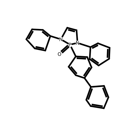 O=P1(c2ccc(-c3ccccc3)cc2)N(c2ccccc2)C=CN1c1ccccc1